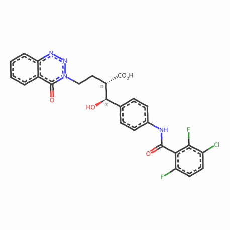 O=C(Nc1ccc([C@@H](O)[C@H](CCn2nnc3ccccc3c2=O)C(=O)O)cc1)c1c(F)ccc(Cl)c1F